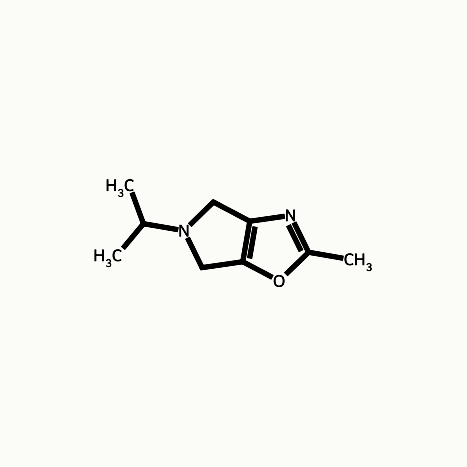 Cc1nc2c(o1)CN(C(C)C)C2